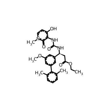 CCOC(=O)C[C@H](NC(=O)Nc1c(O)ccn(C)c1=O)c1cc(OC)cc(-c2c(C)cccc2C)c1